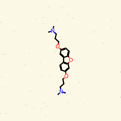 CN(C)CCCOc1ccc2c(c1)oc1ccc(OCCCN(C)C)cc12